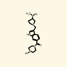 CC(=O)N(C)C1CCN(Cc2c[nH]c3cc(C(=O)N4CCN(C(C)C)CC4)ccc23)C1